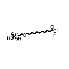 CC(C)CCCCCCCCCCOCCOP(=O)(O)O